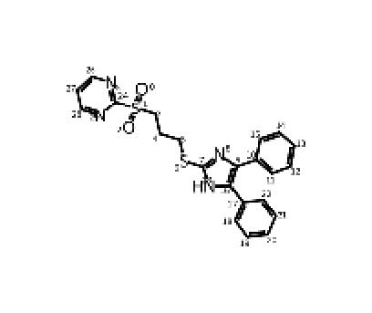 O=S(=O)(CCCSc1nc(-c2ccccc2)c(-c2ccccc2)[nH]1)c1ncccn1